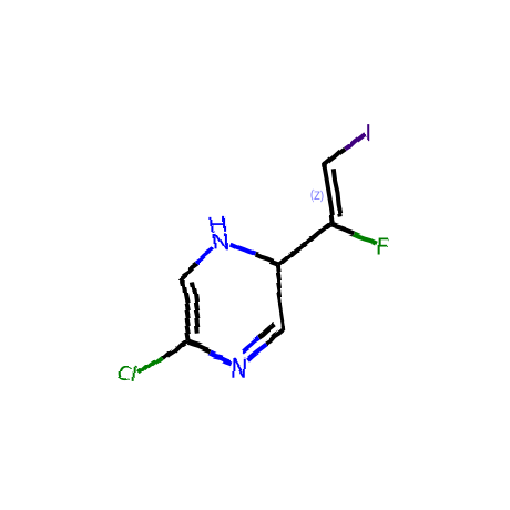 F/C(=C\I)C1C=NC(Cl)=CN1